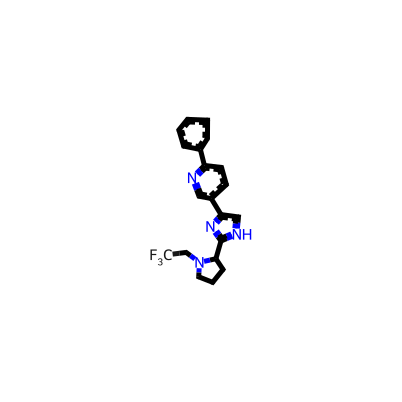 FC(F)(F)CN1CCCC1c1nc(-c2ccc(-c3ccccc3)nc2)c[nH]1